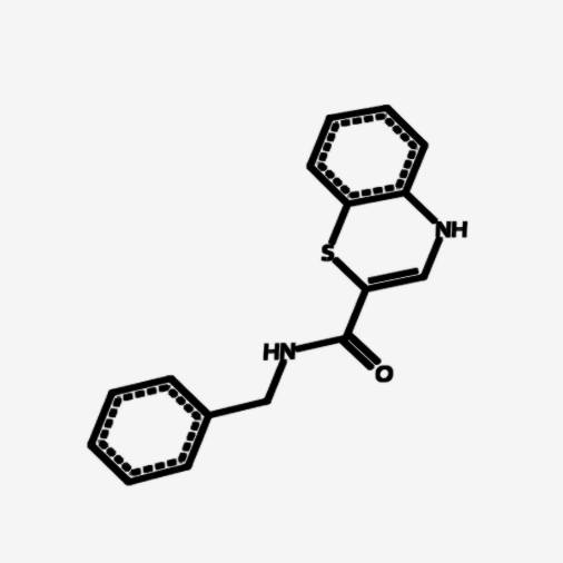 O=C(NCc1ccccc1)C1=CNc2ccccc2S1